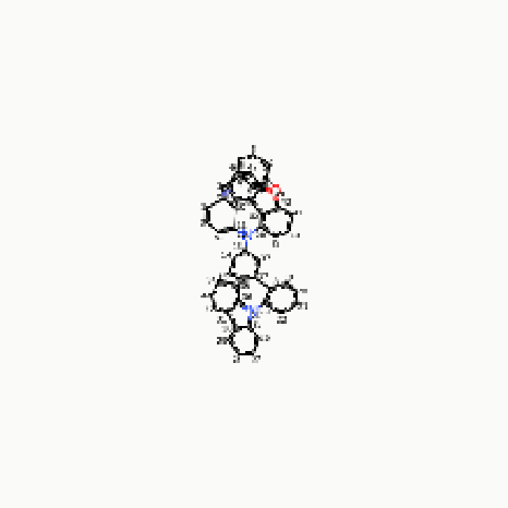 C1=C/C(=C/c2ccccc2)CC(N(c2cccc(-c3ccccc3-n3c4ccccc4c4ccccc43)c2)c2cccc3oc4ccccc4c23)=C1